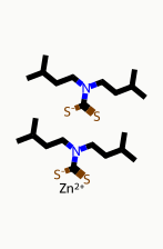 CC(C)CCN(CCC(C)C)C(=S)[S-].CC(C)CCN(CCC(C)C)C(=S)[S-].[Zn+2]